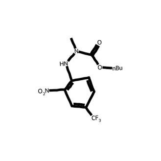 CCCCOC(=O)N(C)Nc1ccc(C(F)(F)F)cc1[N+](=O)[O-]